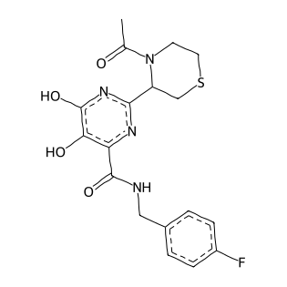 CC(=O)N1CCSCC1c1nc(O)c(O)c(C(=O)NCc2ccc(F)cc2)n1